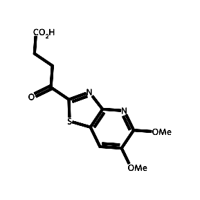 COc1cc2sc(C(=O)CCC(=O)O)nc2nc1OC